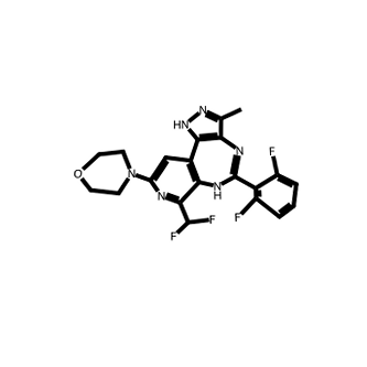 Cc1n[nH]c2c1N=C(c1c(F)cccc1F)Nc1c-2cc(N2CCOCC2)nc1C(F)F